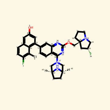 CCc1c(F)ccc2cc(O)cc(-c3ccc4c(N5C[C@H]6CC[C@@H](C5)N6)nc(OC[C@@]56CCCN5C[C@H](F)C6)nc4c3)c12